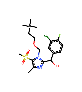 Cc1nc(C(O)c2ccc(F)c(Cl)c2)n(COCC[Si](C)(C)C)c1S(C)(=O)=O